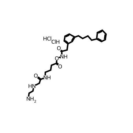 Cl.Cl.NCCNCC(=O)NCCCC(=O)ONC(=O)Cc1cccc(CCCCc2ccccc2)c1